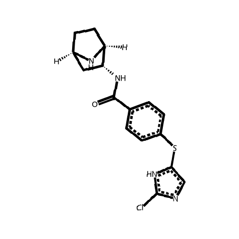 O=C(N[C@@H]1C[C@H]2CC[C@@H]1N2)c1ccc(Sc2cnc(Cl)[nH]2)cc1